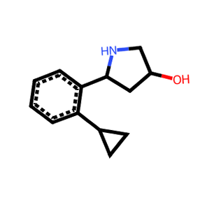 OC1CNC(c2ccccc2C2CC2)C1